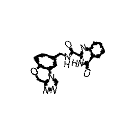 O=C(NCc1ccc2c(c1)-n1cnnc1CO2)c1nc2ccccc2c(=O)[nH]1